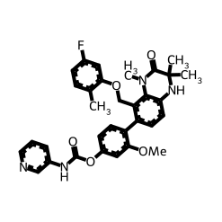 COc1cc(OC(=O)Nc2cccnc2)ccc1-c1ccc2c(c1COc1cc(F)ccc1C)N(C)C(=O)C(C)(C)N2